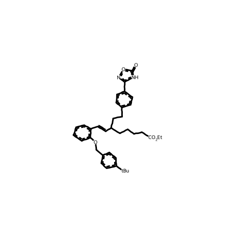 CCOC(=O)CCCCC(C=Cc1ccccc1OCc1ccc(C(C)(C)C)cc1)CCc1ccc(-c2noc(=O)[nH]2)cc1